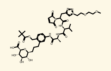 COCCOCCn1cc(CC(C(=O)N[C@H](C(=O)N[C@@H](C)C(=O)Nc2ccc(COC(=O)C(C)(C)C)c(CCC[C@@H]3O[C@H](C(=O)O)[C@@H](O)[C@H](O)[C@H]3O)c2)C(C)C)N2C(=O)C=CC2=O)nn1